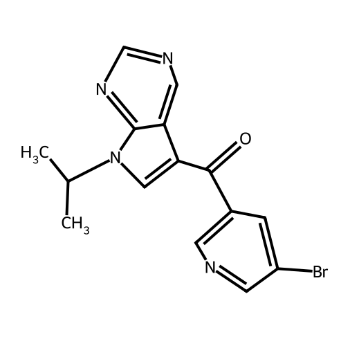 CC(C)n1cc(C(=O)c2cncc(Br)c2)c2cncnc21